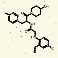 C=Cc1cc(Cl)ccc1NCC(=O)NC(Cc1ccc(F)cc1)C(=O)N1CCC(O)CC1